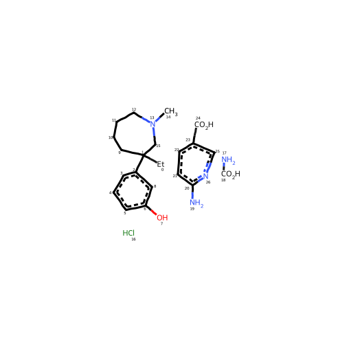 CCC1(c2cccc(O)c2)CCCCN(C)C1.Cl.NC(=O)O.Nc1ccc(C(=O)O)cn1